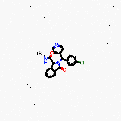 CC(C)(C)NC(=O)C1c2ccccc2C(=O)N1C(c1ccncc1)c1ccc(Cl)cc1